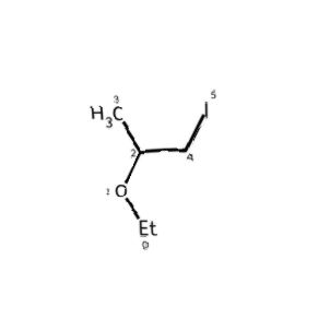 CCOC(C)CI